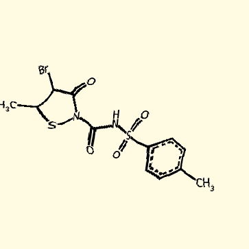 Cc1ccc(S(=O)(=O)NC(=O)N2SC(C)C(Br)C2=O)cc1